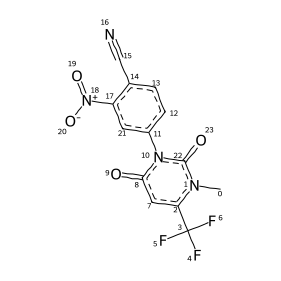 Cn1c(C(F)(F)F)cc(=O)n(-c2ccc(C#N)c([N+](=O)[O-])c2)c1=O